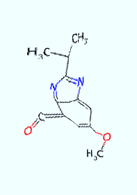 COc1cc2c(c(=C=O)c1)=NC(C(C)C)=N2